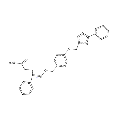 COC(=O)CC/C(=N\OCc1ccc(OCc2csc(-c3ccccc3)n2)cc1)c1ccccc1